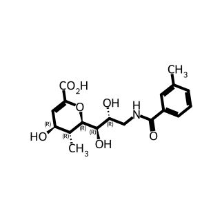 Cc1cccc(C(=O)NC[C@@H](O)[C@@H](O)[C@@H]2OC(C(=O)O)=C[C@H](O)[C@H]2C)c1